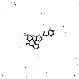 O=C1Cc2cccnc2C(=C2CCN(C(=O)Cc3ccncc3)CC2)c2ccc(Cl)cc21